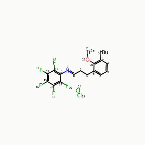 CC(C)(C)c1cccc(CCC=Nc2c(F)c(F)c(F)c(F)c2F)c1[O][Ti+2].[Cl-].[Cl-]